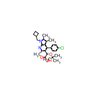 Cc1nc2c(c(C)c(C)n2CC2CCC2)c(-c2ccc(Cl)cc2)c1[C@H](OC(C)(C)C)C(=O)O